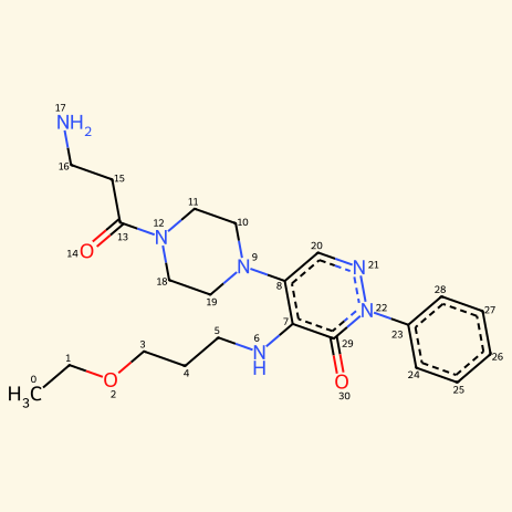 CCOCCCNc1c(N2CCN(C(=O)CCN)CC2)cnn(-c2ccccc2)c1=O